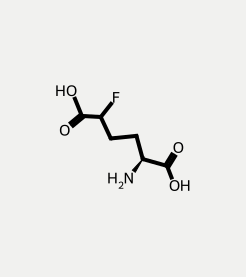 N[C@@H](CCC(F)C(=O)O)C(=O)O